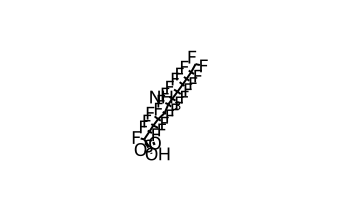 N.O=S(=O)(O)C(F)C(F)(F)C(F)(F)C(F)(F)C(F)(F)C(F)(F)C(F)(F)C(F)(F)C(F)(F)C(F)(F)C(F)(F)C(F)F